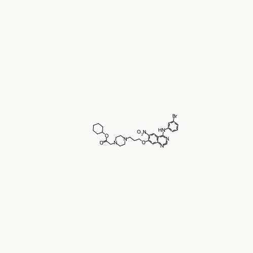 O=C(CN1CCN(CCCOc2cc3ncnc(Nc4cccc(Br)c4)c3cc2[N+](=O)[O-])CC1)OC1CCCCC1